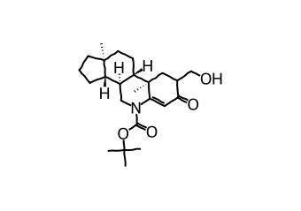 CC(C)(C)OC(=O)N1C[C@H]2[C@@H]3CCC[C@@]3(C)CC[C@@H]2[C@@]2(C)CC(CO)C(=O)C=C12